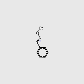 CCO/N=[C]/c1ccccc1